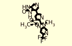 CCS(=O)(=O)c1cc(-c2cncc3[nH]c(=O)[nH]c23)cnc1-c1nc2cc(C(F)(F)F)ncc2n1C